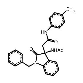 CC(=O)N[C@]1(CC(=O)Nc2ccc(C)cc2)C(=O)N(Cc2ccccc2)c2ccccc21